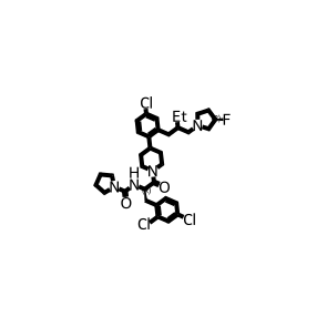 CCC(Cc1cc(Cl)ccc1C1CCN(C(=O)[C@@H](Cc2ccc(Cl)cc2Cl)NC(=O)N2CCCC2)CC1)CN1CC[C@@H](F)C1